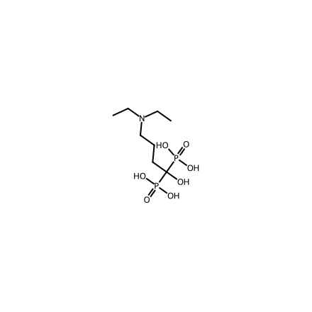 CCN(CC)CCCC(O)(P(=O)(O)O)P(=O)(O)O